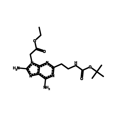 CCOC(=O)Cn1c(N)nc2c(N)nc(CCNC(=O)OC(C)(C)C)nc21